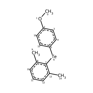 COc1ccc([Te]c2c(C)cccc2C)cc1